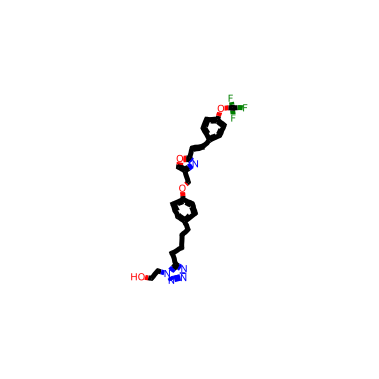 OCCn1nnnc1CCCCc1ccc(OCc2coc(C=Cc3ccc(OC(F)(F)F)cc3)n2)cc1